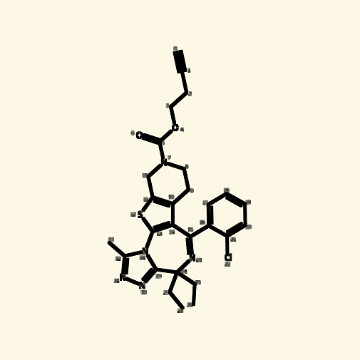 C#CCCOC(=O)N1CCc2c(sc3c2C(c2ccccc2Cl)=NC(CC)(CC)c2nnc(C)n2-3)C1